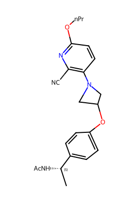 CCCOc1ccc(N2CC(Oc3ccc([C@H](C)NC(C)=O)cc3)C2)c(C#N)n1